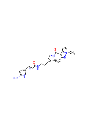 Cc1nn(C)c(C)c1C(=O)N1CC2C(CCNC(=O)/C=C/c3ccc(N)nc3)C2C1